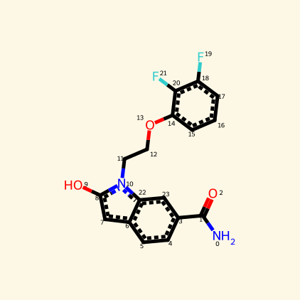 NC(=O)c1ccc2cc(O)n(CCOc3cccc(F)c3F)c2c1